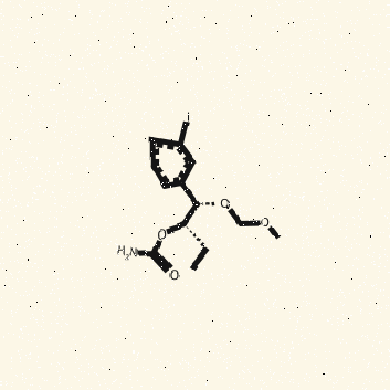 CC[C@H](OC(N)=O)[C@@H](OCOC)c1cccc(I)c1